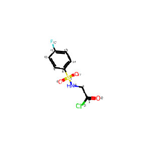 O=C(Cl)CNS(=O)(=O)c1ccc(F)cc1